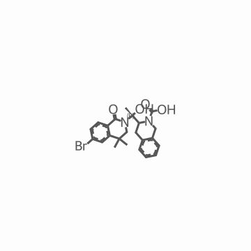 CC1(C)CN([C@](C)(O)C2Cc3ccccc3CN2C(=O)O)C(=O)c2ccc(Br)cc21